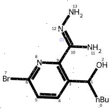 CCCCC(O)c1ccc(Br)nc1/C(N)=N/N